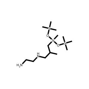 CC(CNCCN)C[Si](C)(O[Si](C)(C)C)O[Si](C)(C)C